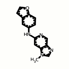 Cn1cnc2cnc(Nc3ccc4occc4c3)cc21